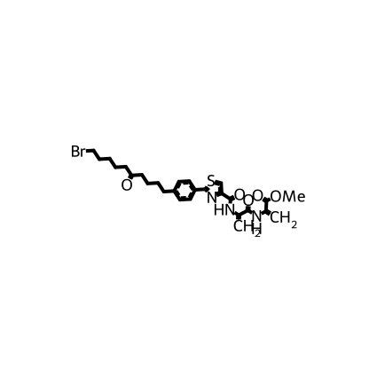 C=C(NC(=O)c1csc(-c2ccc(CCCCC(=O)CCCCCBr)cc2)n1)C(=O)NC(=C)C(=O)OC